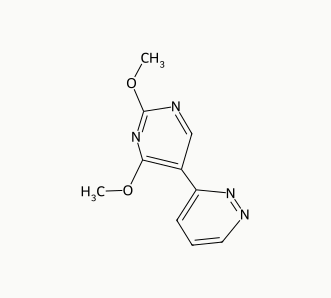 COc1ncc(-c2cccnn2)c(OC)n1